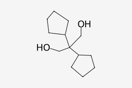 OCC(CO)(C1CCCC1)C1CCCC1